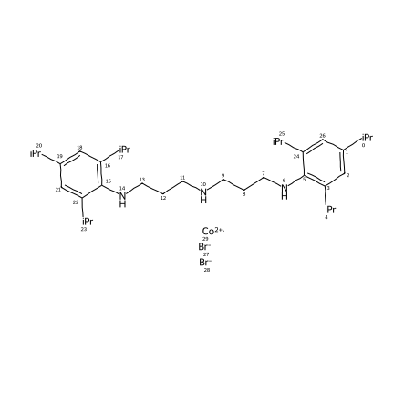 CC(C)c1cc(C(C)C)c(NCCCNCCCNc2c(C(C)C)cc(C(C)C)cc2C(C)C)c(C(C)C)c1.[Br-].[Br-].[Co+2]